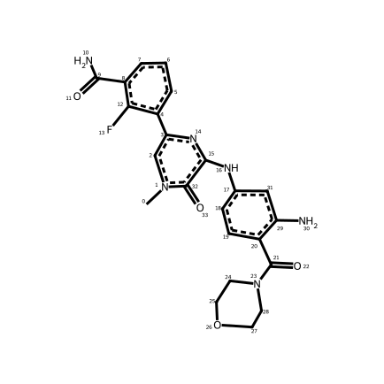 Cn1cc(-c2cccc(C(N)=O)c2F)nc(Nc2ccc(C(=O)N3CCOCC3)c(N)c2)c1=O